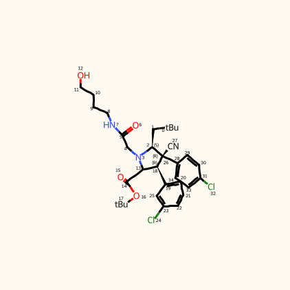 CC(C)(C)C[C@@H]1N(CC(=O)NCCCCO)C(C(=O)OC(C)(C)C)[C@H](c2cccc(Cl)c2)[C@@]1(C#N)c1ccc(Cl)cc1